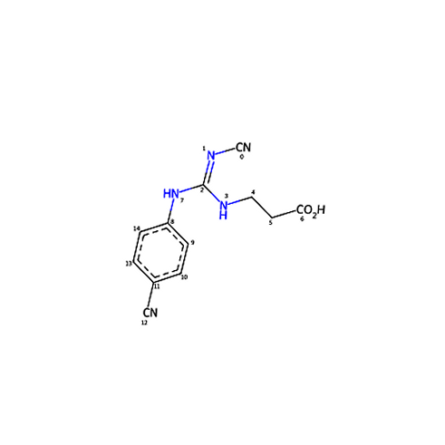 N#CN=C(NCCC(=O)O)Nc1ccc(C#N)cc1